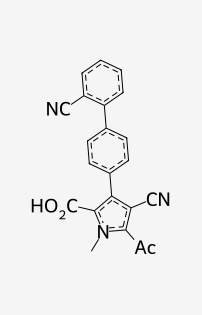 CC(=O)c1c(C#N)c(-c2ccc(-c3ccccc3C#N)cc2)c(C(=O)O)n1C